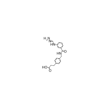 NN=CNc1cccc(C(=O)NCc2ccc(CCC(=O)O)cc2)c1